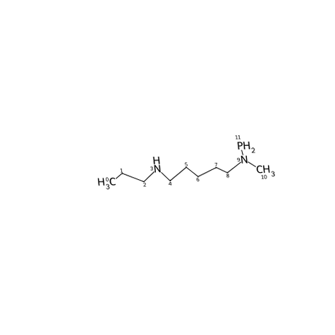 CCCNCCCCCN(C)P